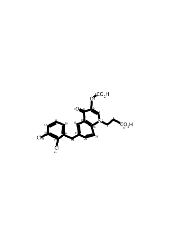 O=C(O)CCn1cc(OC(=O)O)c(=O)c2cc(Cc3cccc(Cl)c3Cl)ccc21